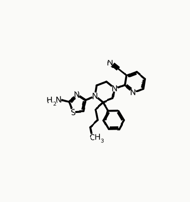 CCCCC1(c2ccccc2)CN(c2ncccc2C#N)CCN1c1csc(N)n1